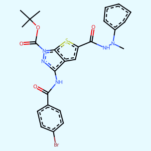 CN(NC(=O)c1cc2c(NC(=O)c3ccc(Br)cc3)nn(C(=O)OC(C)(C)C)c2s1)c1ccccc1